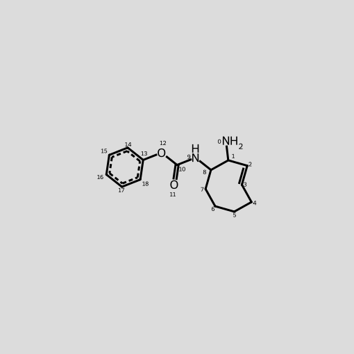 NC1/C=C/CCCCC1NC(=O)Oc1ccccc1